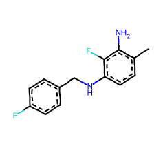 Cc1ccc(NCc2ccc(F)cc2)c(F)c1N